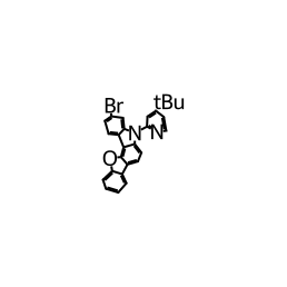 CC(C)(C)c1ccnc(-n2c3cc(Br)ccc3c3c4oc5ccccc5c4ccc32)c1